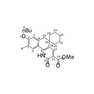 CCCCOc1cc2c(cc1C)-c1[nH]c(=O)c(C(=O)OC)cc1C1(CCCCC1)C2